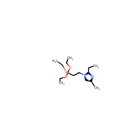 CCO[Si](CCn1cc(C)nc1CC)(OCC)OCC